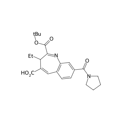 CCC1C(C(=O)O)=Cc2ccc(C(=O)N3CCCC3)cc2N=C1C(=O)OC(C)(C)C